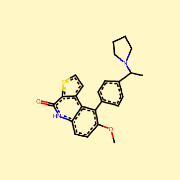 COc1ccc2[nH]c(=O)c3sccc3c2c1-c1ccc(C(C)N2CCCC2)cc1